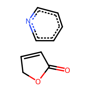 O=C1C=CCO1.c1ccncc1